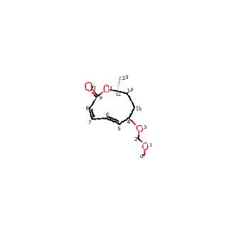 COCO[C@H]1/C=C/C=C\C(=O)O[C@H](C)CC1